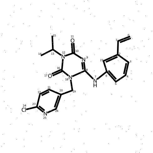 C=Cc1cccc(Nc2nc(=O)n(C(C)C)c(=O)n2Cc2ccc(Cl)nc2)c1